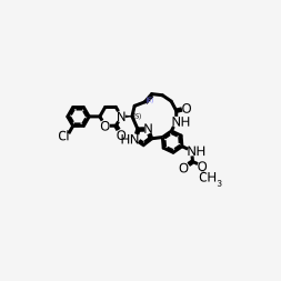 COC(=O)Nc1ccc2c(c1)NC(=O)CC/C=C/C[C@H](N1CCC(c3cccc(Cl)c3)OC1=O)c1nc-2c[nH]1